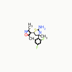 Cc1noc(C)c1[C@@H]1C[C@@](C)(c2ccc(F)cc2F)N=C(N)S1